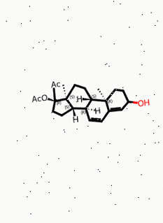 CC(=O)O[C@]1(C(C)=O)CC[C@H]2[C@@H]3C=CC4=CC(O)CC[C@]4(C)[C@H]3CC[C@@]21C